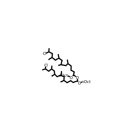 CCCCCCCCOC(CCCC(C)CC(C)CC(C)CC(C)CC(C)Cl)OC(CCCC(C)CC(C)CC(C)CC(C)CC(C)Cl)OCCCCCCCC